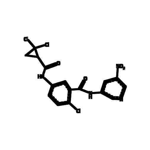 O=C(Nc1cncc([N+](=O)[O-])c1)c1cc(NC(=O)C2CC2(Cl)Cl)ccc1Cl